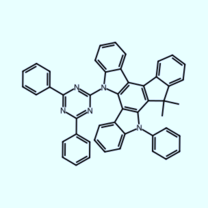 CC1(C)c2ccccc2-c2c1c1c(c3ccccc3n1-c1ccccc1)c1c2c2ccccc2n1-c1nc(-c2ccccc2)nc(-c2ccccc2)n1